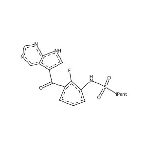 CCCC(C)S(=O)(=O)Nc1cccc(C(=O)c2c[nH]c3ncncc23)c1F